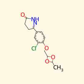 CC1OC(COc2ccc(C3=NNC(=O)CC3)cc2Cl)O1